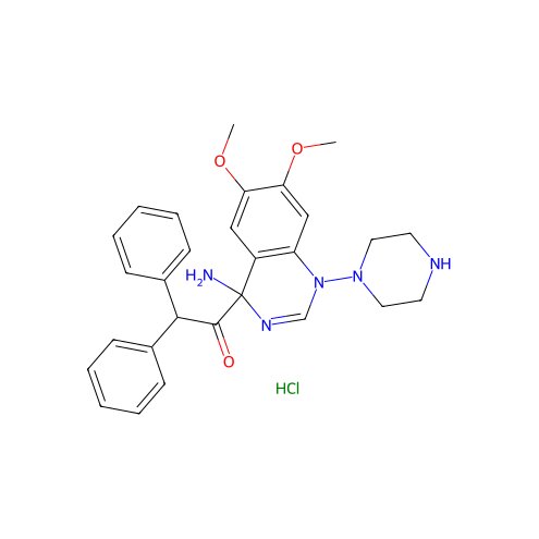 COc1cc2c(cc1OC)C(N)(C(=O)C(c1ccccc1)c1ccccc1)N=CN2N1CCNCC1.Cl